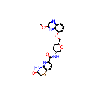 COc1cnc2cccc(OC[C@@H]3CC[C@@H](NC(=O)c4ccc5c(n4)NC(=O)CS5)CO3)c2n1